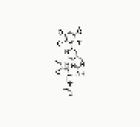 C=CC(=O)N[C@H]1CN(C(C)=O)C[C@H]1Nc1ncc2cc(-c3c(Cl)c(OC)cc(OC)c3Cl)ncc2n1